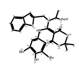 CCCCCC(C)N(Cc1cc2ccccc2s1)C(Nc1cc(C(C)(C)C)c(O)c(C(C)(C)C)c1)=C1C(=O)OC(C)(C)OC1=O